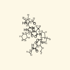 CCC[C@H](NC(=O)[C@@H]1C(C(C)C)CCN1C(=O)[C@@H](NC(=O)[C@@H](NC(=O)c1[nH]c(C)c(C)c1C(C)=O)C1CCCCC1)C(C)(C)C)C(=O)C(=O)NC1CC1